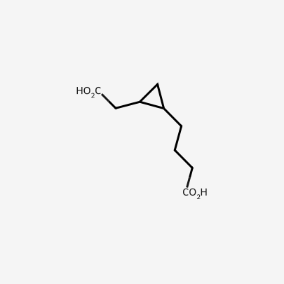 O=C(O)CCCC1CC1CC(=O)O